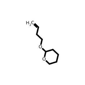 C=CCCOC1CCCCO1